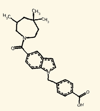 CC1CN(C(=O)c2ccc3c(ccn3Cc3ccc(C(=O)O)cc3)c2)CCC(C)(C)C1